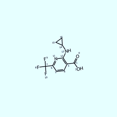 O=C(O)c1ccc(C(F)(F)F)nc1NC1CC1